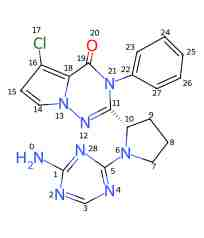 Nc1ncnc(N2CCC[C@H]2c2nn3ccc(Cl)c3c(=O)n2-c2ccccc2)n1